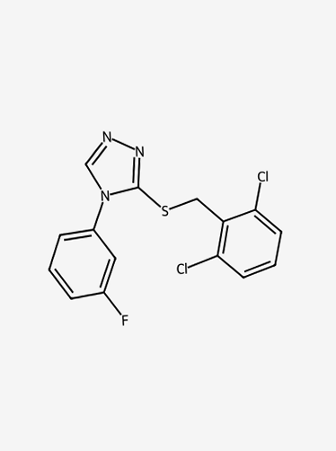 Fc1cccc(-n2cnnc2SCc2c(Cl)cccc2Cl)c1